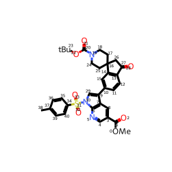 COC(=O)c1cnc2c(c1)c(-c1ccc3c(c1)C1(CCN(C(=O)OC(C)(C)C)CC1)CC3=O)cn2S(=O)(=O)c1ccc(C)cc1